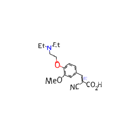 CCN(CC)CCOc1ccc(/C=C(\C#N)C(=O)O)cc1OC